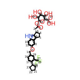 O=C(C[C@@H]1CCc2c1[nH]c1ccc(OCc3ccc(C4CCCC4)c(C(F)(F)F)c3)cc21)O[C@H]1O[C@H](C(=O)O)[C@@H](O)[C@H](O)[C@H]1O